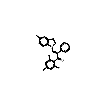 Cc1cc(C)c(C(=O)/C(=C/N2CCc3cc(C)ccc32)c2ccccc2)c(C)c1